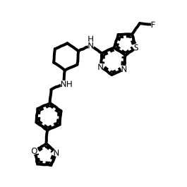 FCc1cc2c(NC3CCCC(NCc4ccc(-c5ncco5)cc4)C3)ncnc2s1